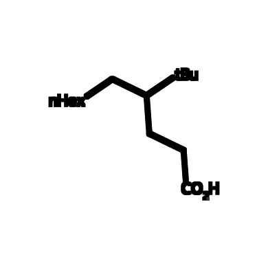 CCCCCCCC(CCC(=O)O)C(C)(C)C